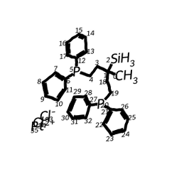 CC([SiH3])(CCP(c1ccccc1)c1ccccc1)CCP(c1ccccc1)c1ccccc1.[Cl-].[Cl-].[Pt+2]